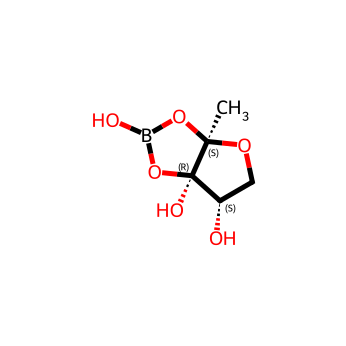 C[C@]12OC[C@H](O)[C@@]1(O)OB(O)O2